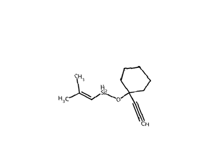 C#CC1(O[SiH2]C=C(C)C)CCCCC1